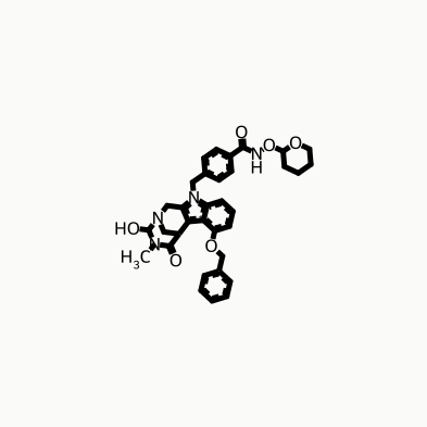 CN1C(=O)C2CN(Cc3c2c2c(OCc4ccccc4)cccc2n3Cc2ccc(C(=O)NOC3CCCCO3)cc2)C1O